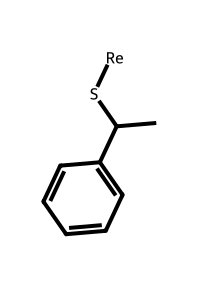 CC([S][Re])c1ccccc1